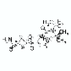 CC(C)N(C(=O)c1cccc(S(=O)(=O)C2CC(C(N)=O)C2)c1)C(C)(C)C